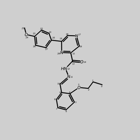 CCCOc1ccccc1/C=N/NC(=O)c1cncc(-c2ccc(OC)cc2)n1